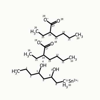 CCCC(O)CC(O)CC.CCCCC(CC)C(=O)[O-].CCCCC(CC)C(=O)[O-].[Sn+2]